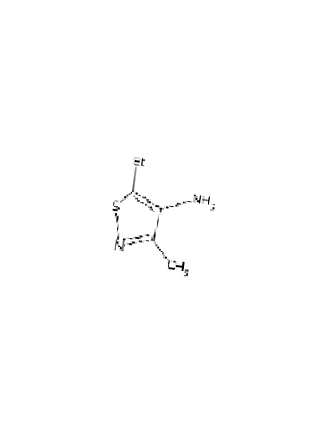 CCc1snc(C)c1N